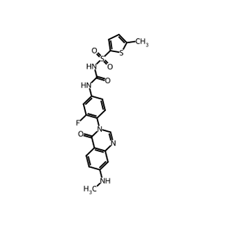 CNc1ccc2c(=O)n(-c3ccc(NC(=O)NS(=O)(=O)c4ccc(C)s4)cc3F)cnc2c1